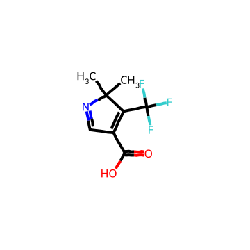 CC1(C)N=CC(C(=O)O)=C1C(F)(F)F